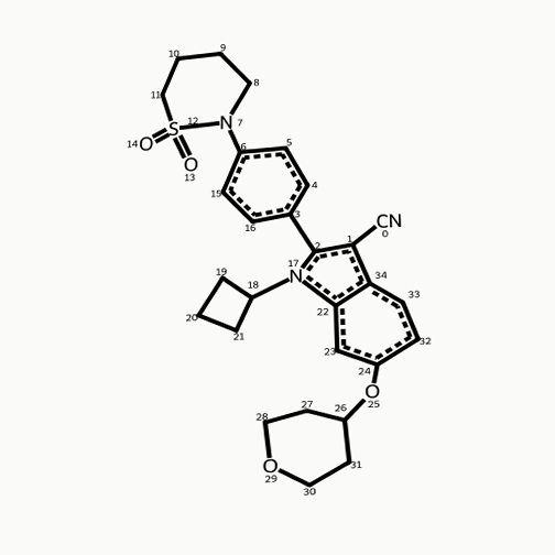 N#Cc1c(-c2ccc(N3CCCCS3(=O)=O)cc2)n(C2CCC2)c2cc(OC3CCOCC3)ccc12